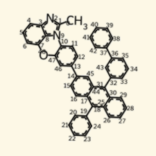 Cc1nc2cccc3c2n1-c1ccc(-c2ccc4c(-c5ccccc5)c5ccccc5c(-c5cccc(-c6ccccc6)c5)c4c2)cc1O3